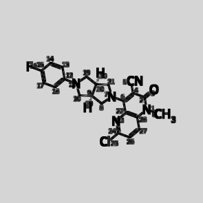 Cn1c(=O)c(C#N)c(N2C[C@H]3CN(c4ccc(F)cc4)C[C@H]3C2)c2nc(Cl)ccc21